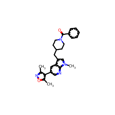 Cc1noc(C)c1-c1cnc2c(c1)c(CC1CCN(C(=O)c3ccccc3)CC1)cn2C